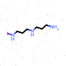 NCCCNCCCNI